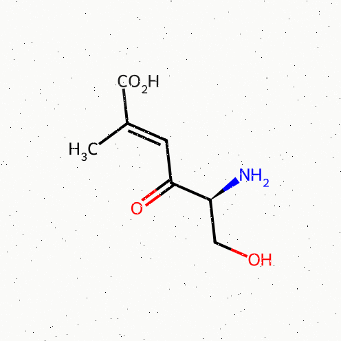 CC(=CC(=O)[C@@H](N)CO)C(=O)O